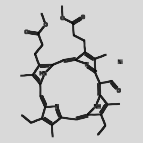 CCC1=C(C)c2cc3[nH]c(c(C)c3CC)c(C=O)c3nc(cc4[nH]c(cc1n2)c(C)c4CCC(=O)OC)C(CCC(=O)OC)=C3C.[Ni]